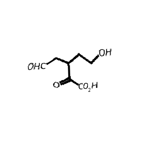 O=CCC(CCO)C(=O)C(=O)O